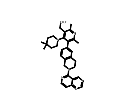 Cc1nc(C)c(-c2ccc3c(c2)CCN(c2nccc4ncncc24)C3)c(N2CCC(C)(C)CC2)c1CC(=O)O